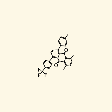 Cc1ccc(-c2ccc(-c3ccc(C(F)(F)F)cc3)c3c2C(=O)c2c(C)ccc(C)c2C3=O)cc1